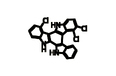 Clc1ccc2[nH]c3c4c([nH]c5cccc(Cl)c54)c4[nH]c5ccccc5c4c3c2c1Cl